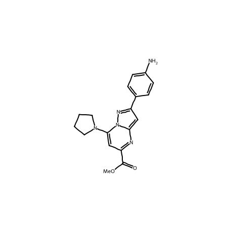 COC(=O)c1cc(N2CCCC2)n2nc(-c3ccc(N)cc3)cc2n1